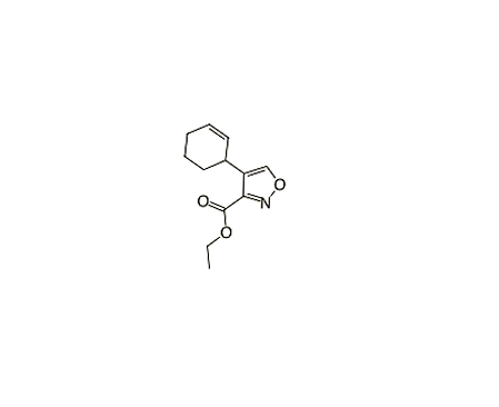 CCOC(=O)c1nocc1C1C=CCCC1